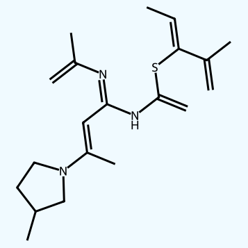 C=C(C)/N=C(\C=C(/C)N1CCC(C)C1)NC(=C)S/C(=C\C)C(=C)C